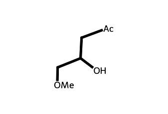 COCC(O)CC(C)=O